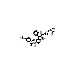 CC(C)(C)c1ccc(S(=O)(=O)Nc2ccc3[nH]c(C(=O)NCCCN4CCCC4=O)c(-c4ccccc4)c3c2)cc1